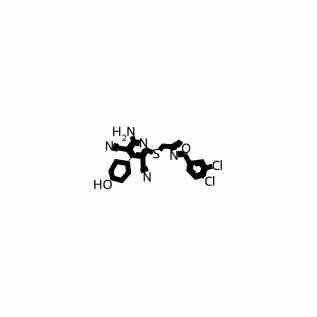 N#Cc1c(N)nc(SCc2coc(-c3ccc(Cl)c(Cl)c3)n2)c(C#N)c1[C@H]1CC[C@@H](O)CC1